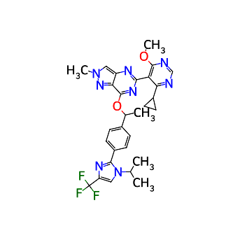 COc1ncnc(C2CC2)c1-c1nc(OC(C)c2ccc(-c3nc(C(F)(F)F)cn3C(C)C)cc2)c2nn(C)cc2n1